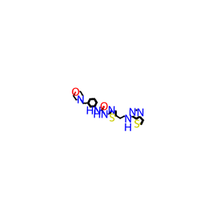 O=C(Nc1cccc(CN2CCOCC2)c1)Nc1ncc(CCNc2ncnc3ccsc23)s1